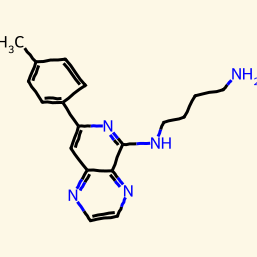 Cc1ccc(-c2cc3nccnc3c(NCCCCN)n2)cc1